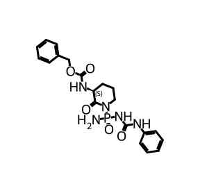 NP(=O)(NC(=O)Nc1ccccc1)N1CCC[C@H](NC(=O)OCc2ccccc2)C1=O